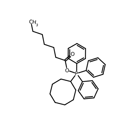 CCCCCCC(=O)OP(c1ccccc1)(c1ccccc1)(c1ccccc1)C1CCCCCCC1